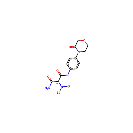 CCN(CC)[C@@H](C(N)=O)C(=O)Nc1ccc(N2CCOCC2=O)cc1